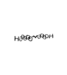 OOOOCCCOOOOO